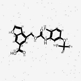 O=C(Nc1cc(OC(F)(F)F)ccc1F)OCc1cc(C(=O)O)cc2occc12